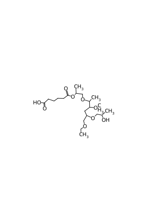 CCOCC(CC(OC)C(C)OCC(C)OC(=O)CCCCC(=O)O)OCC(C)O